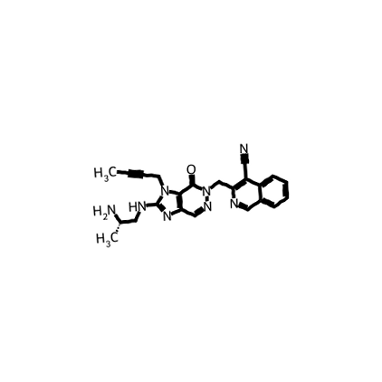 CC#CCn1c(NC[C@H](C)N)nc2cnn(Cc3ncc4ccccc4c3C#N)c(=O)c21